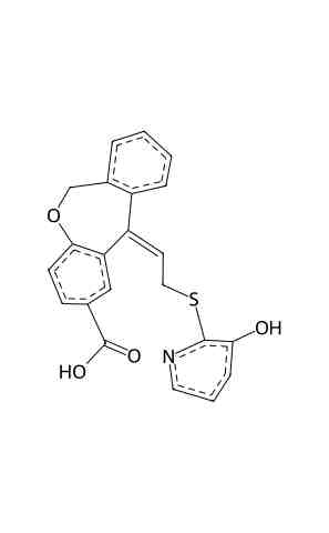 O=C(O)c1ccc2c(c1)C(=CCSc1ncccc1O)c1ccccc1CO2